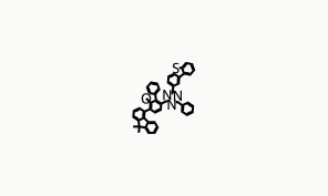 CC1(C)c2ccccc2-c2c(-c3ccc(-c4nc(-c5ccccc5)nc(-c5ccc6sc7ccccc7c6c5)n4)c4c3oc3ccccc34)cccc21